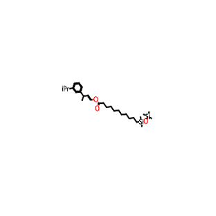 CC(C)c1cccc(C(C)C=COC(=O)CCCCCCCCCC[Si](C)(C)O[Si](C)(C)C)c1